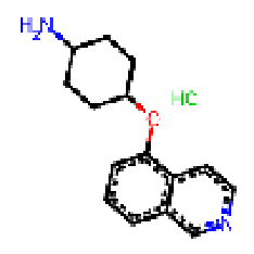 Cl.NC1CCC(Oc2cccc3cnccc23)CC1